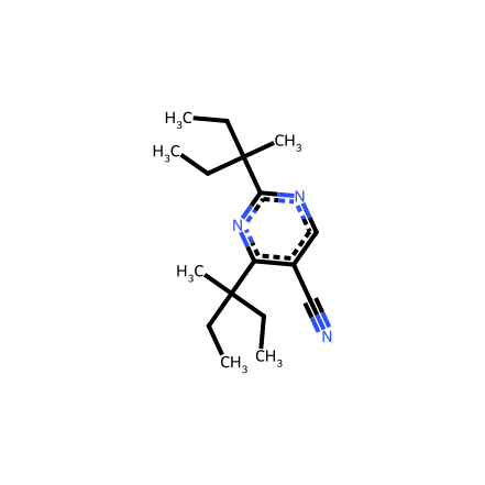 CCC(C)(CC)c1ncc(C#N)c(C(C)(CC)CC)n1